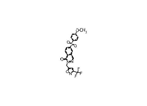 COc1ccc(S(=O)(=O)c2ccc3c(=O)n(Cc4cc(C(F)(F)F)no4)ncc3c2)cc1